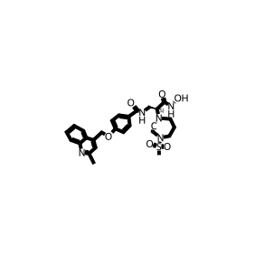 Cc1cc(COc2ccc(C(=O)NC[C@@H](C(=O)NO)N3CCCN(S(C)(=O)=O)CC3)cc2)c2ccccc2n1